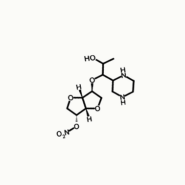 CC(O)C(O[C@H]1CO[C@H]2[C@@H]1OC[C@H]2O[N+](=O)[O-])C1CNCCN1